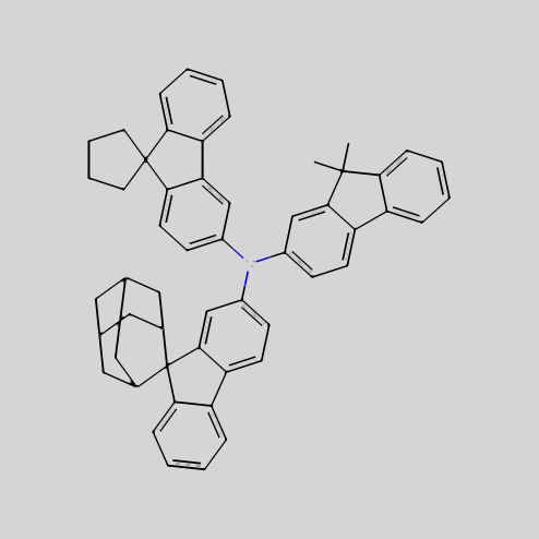 CC1(C)c2ccccc2-c2ccc(N(c3ccc4c(c3)-c3ccccc3C43CCCC3)c3ccc4c(c3)C3(c5ccccc5-4)C4CC5CC(C4)CC3C5)cc21